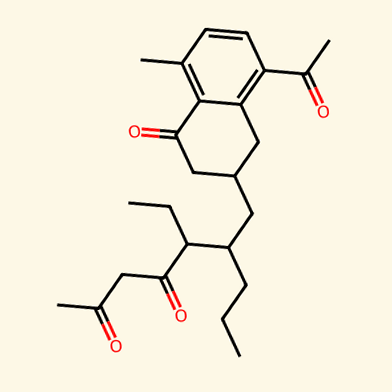 CCCC(CC1CC(=O)c2c(C)ccc(C(C)=O)c2C1)C(CC)C(=O)CC(C)=O